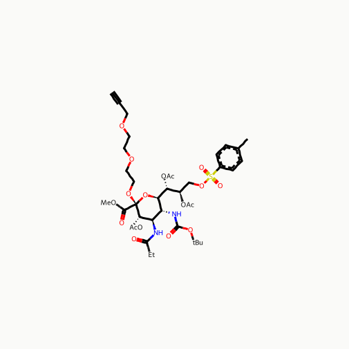 C#CCOCCOCCO[C@@]1(C(=O)OC)O[C@@H]([C@H](OC(C)=O)[C@@H](COS(=O)(=O)c2ccc(C)cc2)OC(C)=O)[C@H](NC(=O)OC(C)(C)C)[C@@H](NC(=O)CC)[C@@H]1OC(C)=O